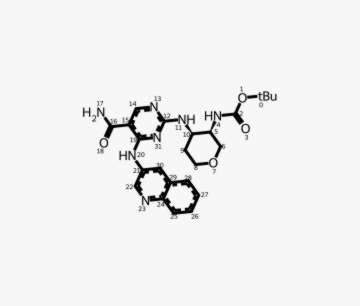 CC(C)(C)OC(=O)N[C@H]1COCC[C@H]1Nc1ncc(C(N)=O)c(Nc2cnc3ccccc3c2)n1